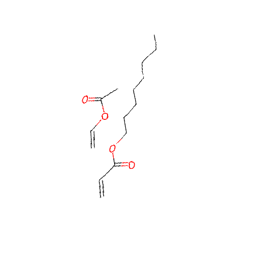 C=CC(=O)OCCCCCCCC.C=COC(C)=O